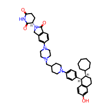 O=C1CC[C@H](N2Cc3cc(N4CCN(CC5CCN(c6ccc([C@@H]7c8ccc(O)cc8CC[C@@H]7C7CCCCCC7)cc6)CC5)CC4)ccc3C2=O)C(=O)N1